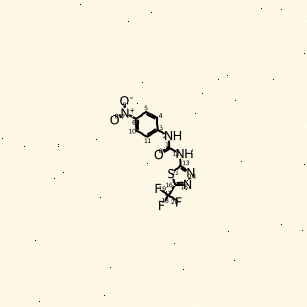 O=C(Nc1ccc([N+](=O)[O-])cc1)Nc1nnc(C(F)(F)F)s1